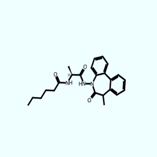 CCCCCC(=O)N[C@@H](C)C(=O)NN1C(=O)C(C)c2ccccc2-c2ccccc21